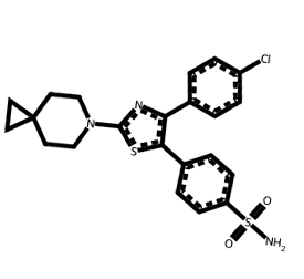 NS(=O)(=O)c1ccc(-c2sc(N3CCC4(CC3)CC4)nc2-c2ccc(Cl)cc2)cc1